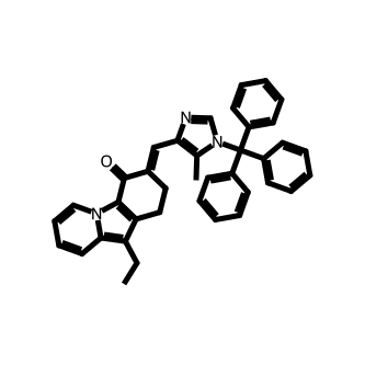 CCc1c2c(n3ccccc13)C(=O)C(=Cc1ncn(C(c3ccccc3)(c3ccccc3)c3ccccc3)c1C)CC2